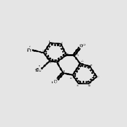 CC(C)c1ccc2c(c1C(C)(C)C)C(=O)c1ccccc1C2=O